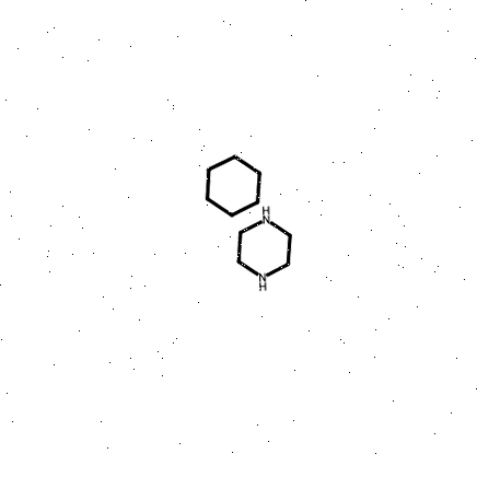 C1CCCCC1.C1CNCCN1